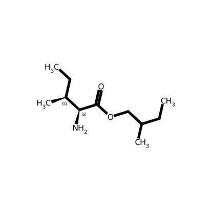 CCC(C)COC(=O)[C@@H](N)[C@@H](C)CC